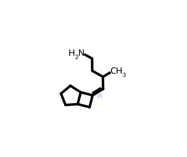 CC(/C=C1/CC2CCCC12)CCN